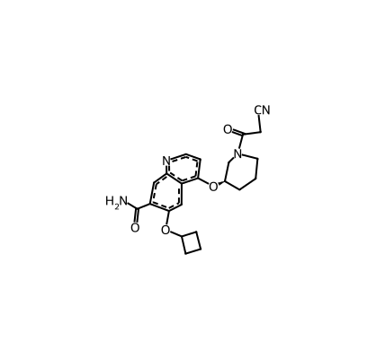 N#CCC(=O)N1CCC[C@@H](Oc2ccnc3cc(C(N)=O)c(OC4CCC4)cc23)C1